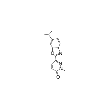 CC(C)c1ccc2nc(-c3ccc(=O)n(C)n3)oc2c1